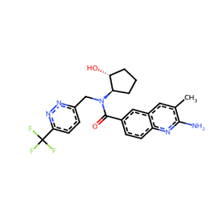 Cc1cc2cc(C(=O)N(Cc3ccc(C(F)(F)F)nn3)[C@@H]3CCC[C@H]3O)ccc2nc1N